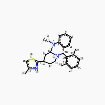 CC(=O)N(c1ccccc1)C1CC(c2nc(C)cs2)CCN1Cc1c(C)cccc1C